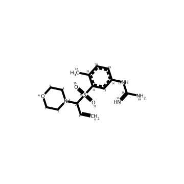 C=CC(N1CCOCC1)S(=O)(=O)c1cc(NC(=N)N)ccc1C